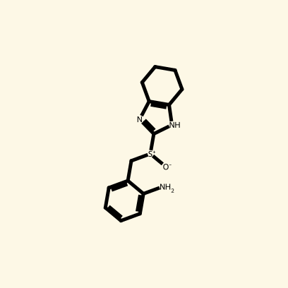 Nc1ccccc1C[S+]([O-])c1nc2c([nH]1)CCCC2